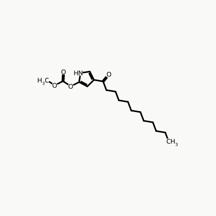 CCCCCCCCCCCC(=O)c1c[nH]c(OC(=O)OC)c1